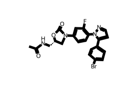 CC(=O)NC[C@H]1CN(c2ccc(-n3nccc3-c3ccc(Br)cc3)c(F)c2)C(=O)O1